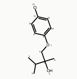 CC(C)C(C)(O)COc1ccc(Cl)cc1